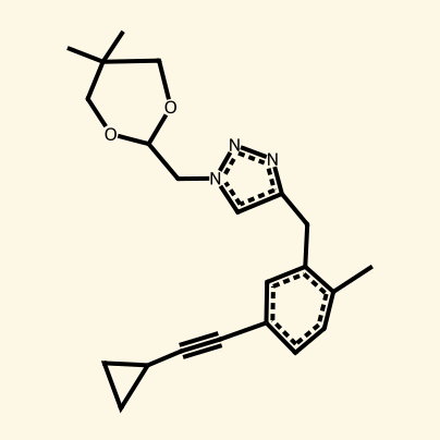 Cc1ccc(C#CC2CC2)cc1Cc1cn(CC2OCC(C)(C)CO2)nn1